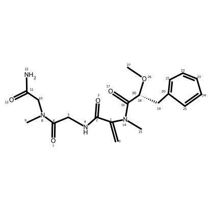 C=C(C(=O)NCC(=O)N(C)CC(N)=O)N(C)C(=O)[C@@H](Cc1ccccc1)OC